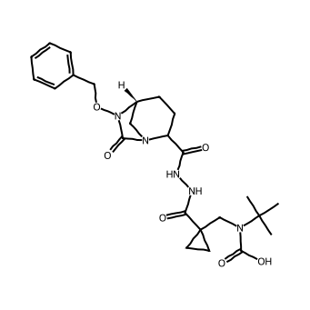 CC(C)(C)N(CC1(C(=O)NNC(=O)C2CC[C@@H]3CN2C(=O)N3OCc2ccccc2)CC1)C(=O)O